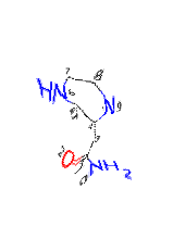 NC(=O)CC1CNCC[N]1